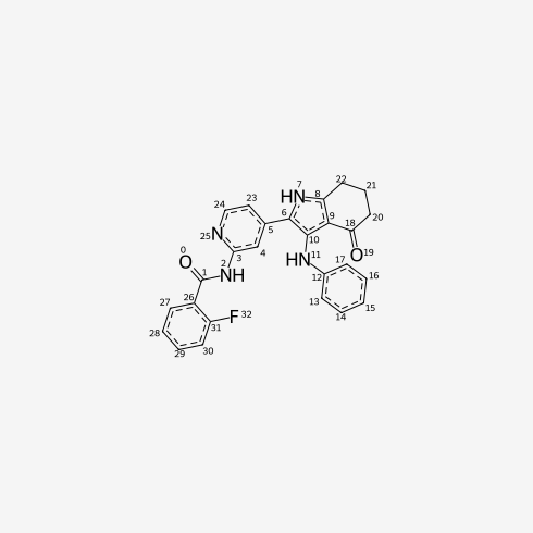 O=C(Nc1cc(-c2[nH]c3c(c2Nc2ccccc2)C(=O)CCC3)ccn1)c1ccccc1F